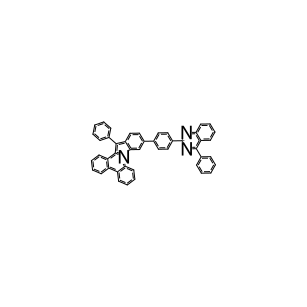 c1ccc(-c2nc(-c3ccc(-c4ccc5c(-c6ccccc6)c6c7ccccc7c7ccccc7n6c5c4)cc3)nc3ccccc23)cc1